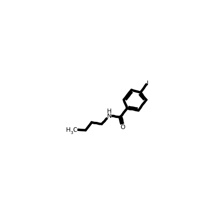 CCCCNC(=O)c1ccc(I)cc1